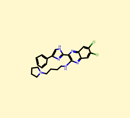 Clc1cc2nc(NCCCCN3CCCC3)c(-c3nc(-c4ccccc4)c[nH]3)nc2cc1Cl